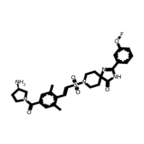 Cc1cc(C(=O)N2CC[C@@H](N)C2)cc(C)c1/C=C/S(=O)(=O)N1CCC2(CC1)N=C(c1cccc(OF)c1)NC2=O